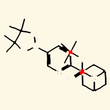 CC(C)(C)OC(=O)N1C2CC1CN(c1ncc(B3OC(C)(C)C(C)(C)O3)cn1)C2